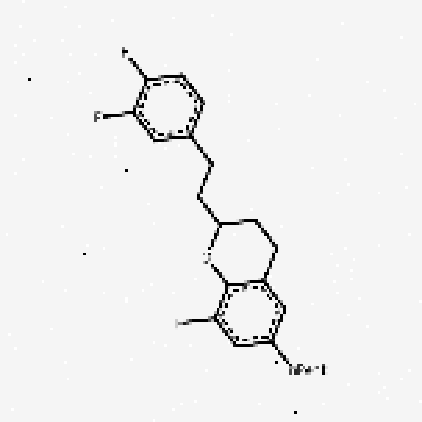 CCCCCc1cc(F)c2c(c1)CCC(CCc1ccc(F)c(F)c1)O2